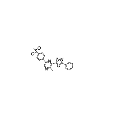 Cc1ncc(-c2ccc(S(C)(=O)=O)cc2)nc1-c1nnc(-c2ccccc2)o1